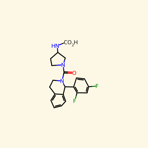 O=C(O)NC1CCN(C(=O)N2CCc3ccccc3C2c2ccc(F)cc2F)C1